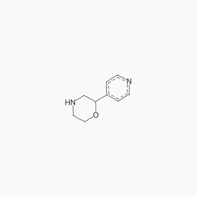 c1cc(C2CNCCO2)ccn1